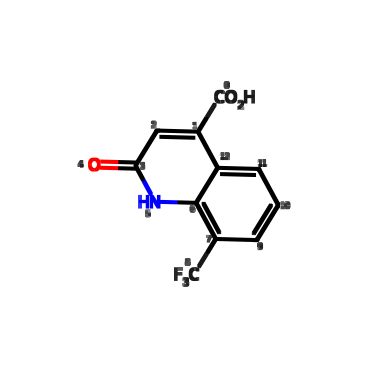 O=C(O)c1cc(=O)[nH]c2c(C(F)(F)F)cccc12